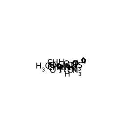 CC(C)(C)OC(=O)N1C[C@@H]2[C@H](C1)[C@H]2C(=O)NC(C)(C)c1ncc2c(SC3CCCC3)cccn12